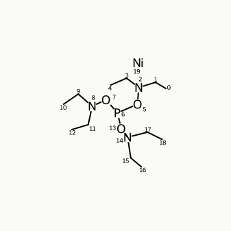 CCN(CC)OP(ON(CC)CC)ON(CC)CC.[Ni]